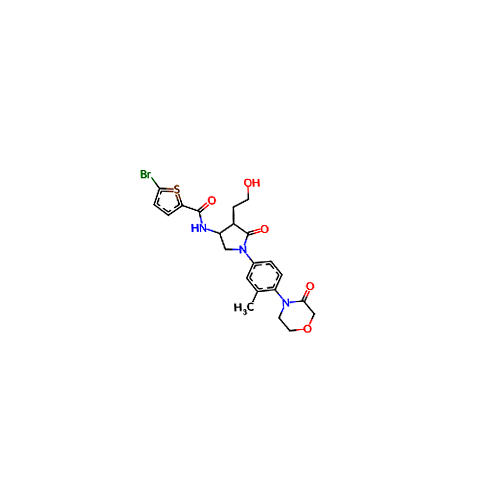 Cc1cc(N2CC(NC(=O)c3ccc(Br)s3)C(CCO)C2=O)ccc1N1CCOCC1=O